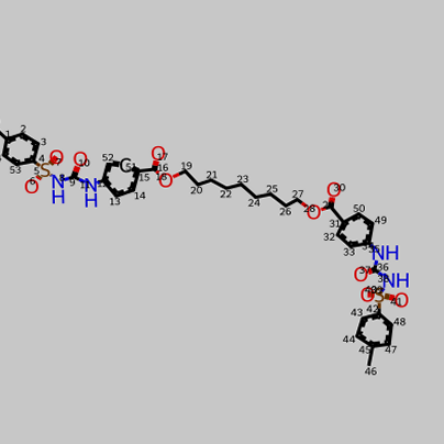 Cc1ccc(S(=O)(=O)NC(=O)Nc2ccc(C(=O)OCCCCCCCCCOC(=O)c3ccc(NC(=O)NS(=O)(=O)c4ccc(C)cc4)cc3)cc2)cc1